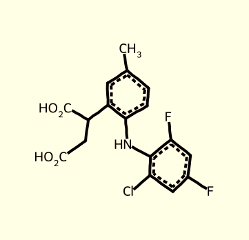 Cc1ccc(Nc2c(F)cc(F)cc2Cl)c(C(CC(=O)O)C(=O)O)c1